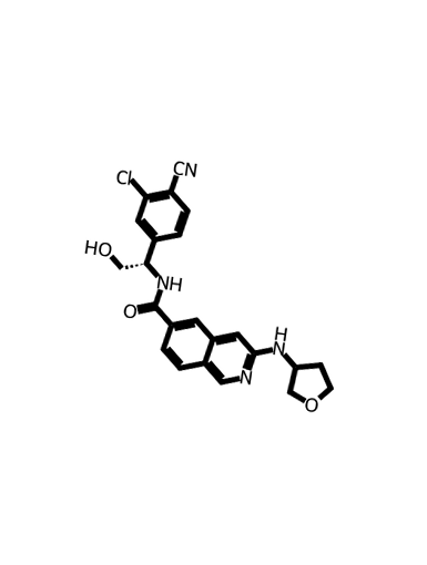 N#Cc1ccc([C@@H](CO)NC(=O)c2ccc3cnc(NC4CCOC4)cc3c2)cc1Cl